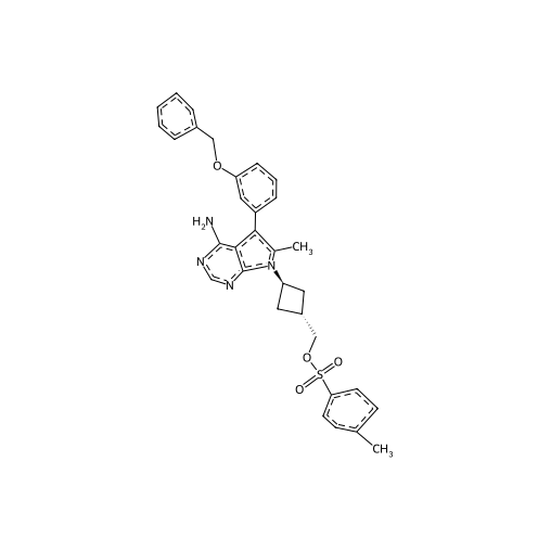 Cc1ccc(S(=O)(=O)OC[C@H]2C[C@H](n3c(C)c(-c4cccc(OCc5ccccc5)c4)c4c(N)ncnc43)C2)cc1